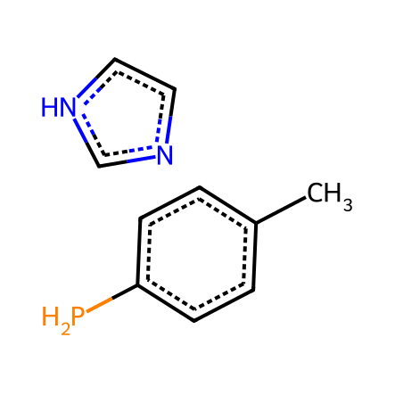 Cc1ccc(P)cc1.c1c[nH]cn1